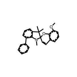 COc1cccc2c1OC1(C=C2)N(C)c2c(-c3ccccc3)cccc2C1(C)C